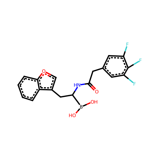 O=C(Cc1cc(F)c(F)c(F)c1)NC(Cc1coc2ccccc12)B(O)O